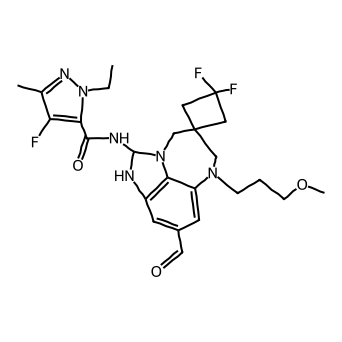 CCn1nc(C)c(F)c1C(=O)NC1Nc2cc(C=O)cc3c2N1CC1(CN3CCCOC)CC(F)(F)C1